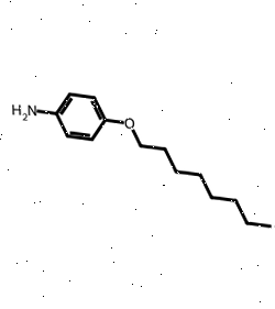 [CH2]CCCCCCCOc1ccc(N)cc1